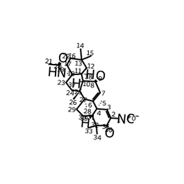 [C-]#[N+]C1=C[C@]2(C)C3=CC(=O)[C@@H]4[C@@H]5CC(C)(C)CC[C@]5(NC(C)=O)CC[C@@]4(C)[C@]3(C)CC[C@H]2C(C)(C)C1=O